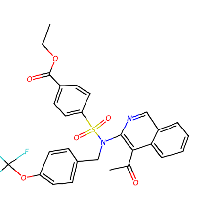 CCOC(=O)c1ccc(S(=O)(=O)N(Cc2ccc(OC(F)(F)F)cc2)c2ncc3ccccc3c2C(C)=O)cc1